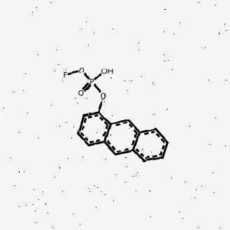 O=P(O)(OF)Oc1cccc2cc3ccccc3cc12